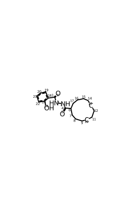 O=C(NNC(=O)C1CCCCCCCCCCC1)c1ccccc1O